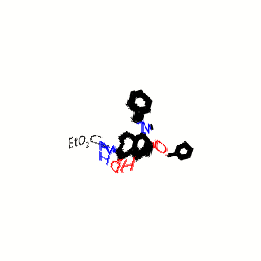 CCOC(=O)NC1CCc2c(ccc(OCc3ccccc3)c2N(C)Cc2ccccc2)C1O